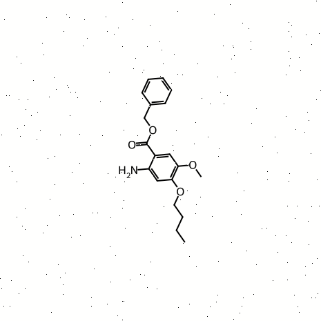 CCCCOc1cc(N)c(C(=O)OCc2ccccc2)cc1OC